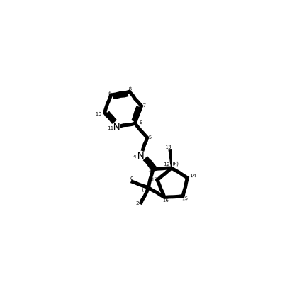 CC1(C)C(=NCc2ccccn2)[C@]2(C)CCC1C2